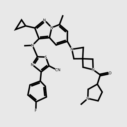 Cc1cc(N2CC3(CN(C(=O)C4CCN(C)C4)C3)C2)cc2c(N(C)c3nc(-c4ccc(F)cc4)c(C#N)s3)c(C3CC3)nn12